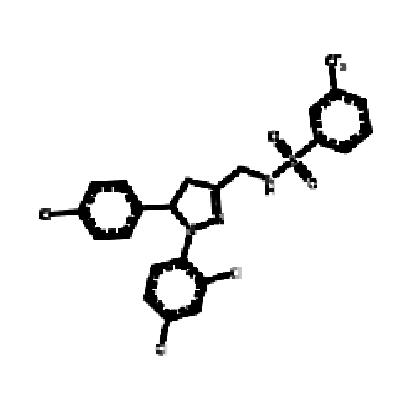 O=S(=O)(NCC1=NN(c2ccc(Cl)cc2Cl)C(c2ccc(Cl)cc2)C1)c1cccc(C(F)(F)F)c1